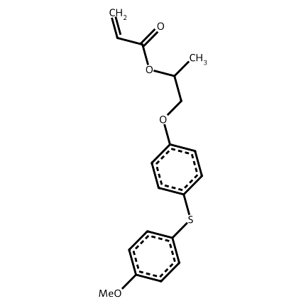 C=CC(=O)OC(C)COc1ccc(Sc2ccc(OC)cc2)cc1